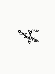 COc1ccccc1COCCCOc1ccc([C@H]2[C@H](Cn3ccnc3)CN(C(=O)OC(C)(C)C)C[C@@H]2OCc2cc(OC)c3ccccc3c2)cc1